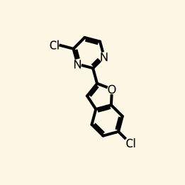 Clc1ccc2cc(-c3nccc(Cl)n3)oc2c1